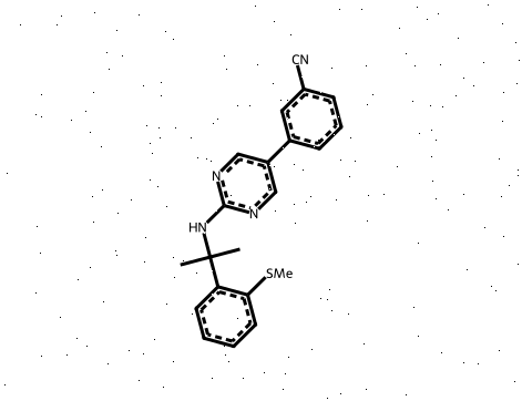 CSc1ccccc1C(C)(C)Nc1ncc(-c2cccc(C#N)c2)cn1